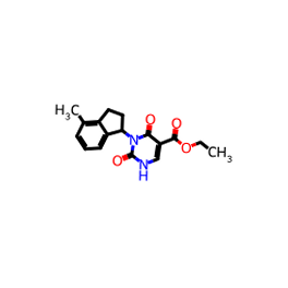 CCOC(=O)c1c[nH]c(=O)n(C2CCc3c(C)cccc32)c1=O